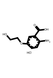 Cl.Nc1ccc(OCCO)cc1C(=O)O